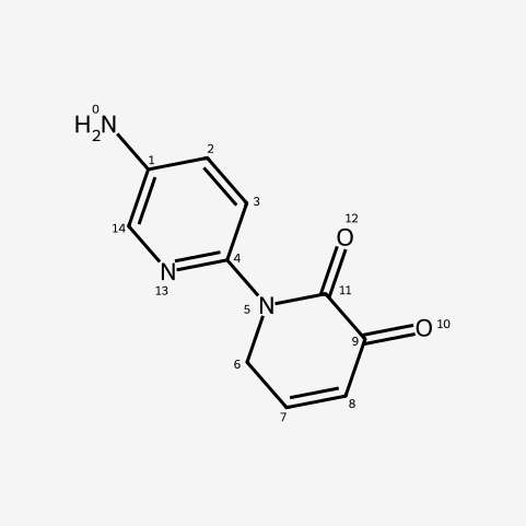 Nc1ccc(N2CC=CC(=O)C2=O)nc1